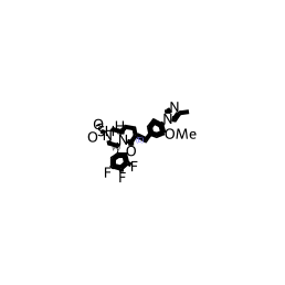 COc1cc(/C=C2\CC[C@H]3CN([SH](=O)=O)C[C@@H](c4cc(F)c(F)c(F)c4)N3C2=O)ccc1-n1cnc(C)c1